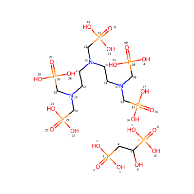 O=P(O)(O)CC(O)P(=O)(O)O.O=P(O)(O)CN(CCN(CP(=O)(O)O)CP(=O)(O)O)CCN(CP(=O)(O)O)CP(=O)(O)O